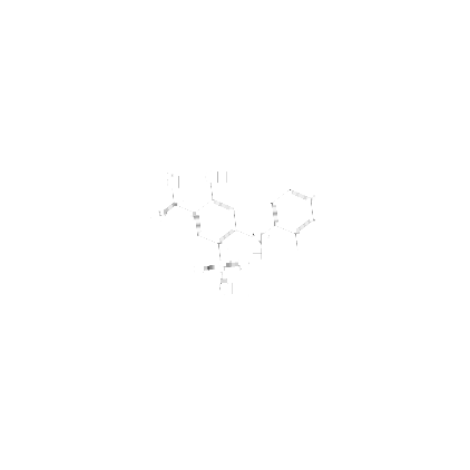 Cc1cc(Nc2ccccc2F)c(S(C)(=O)=O)cc1C(=O)Cl